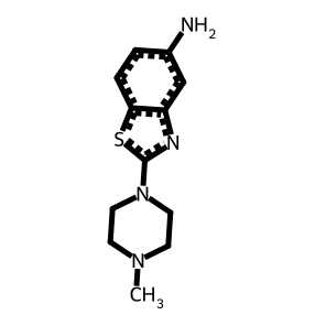 CN1CCN(c2nc3cc(N)ccc3s2)CC1